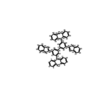 c1ccc2c(c1)Oc1ccccc1N2c1cc(-c2cc(-c3nc4ccccc4s3)cc(N3c4ccccc4Oc4ccccc43)c2)cc(-c2nc3ccccc3s2)c1